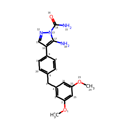 COc1cc(Cc2ccc(-c3cnn(C(N)=O)c3N)cc2)cc(OC)c1